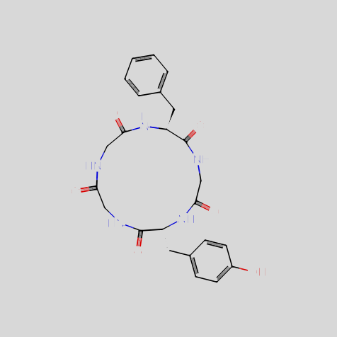 O=C1CNC(=O)[C@@H](Cc2ccc(O)cc2)NC(=O)CNC(=O)[C@H](Cc2ccccc2)NC(=O)CN1